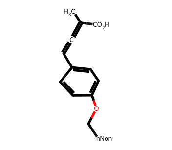 CCCCCCCCCCOc1ccc(C=C=C(C)C(=O)O)cc1